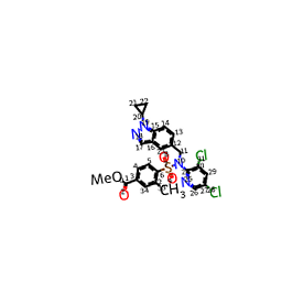 COC(=O)c1ccc(S(=O)(=O)N(Cc2ccc3c(cnn3C3CC3)c2)c2ncc(Cl)cc2Cl)c(C)c1